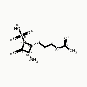 CC(=O)OCCC[C@@H]1[C@H](N)C(=O)N1S(=O)(=O)O